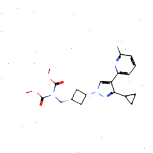 CC(C)(C)OC(=O)N(C[C@H]1C[C@@H](n2cc(-c3cccc(Cl)n3)c(C3CC3)n2)C1)C(=O)OC(C)(C)C